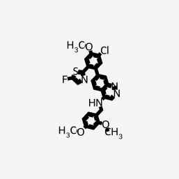 COc1ccc(CNc2cnnc3cc(-c4cc(Cl)c(OC)cc4-c4ncc(F)s4)ccc23)c(OC)c1